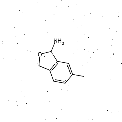 Cc1ccc2c(c1)C(N)OC2